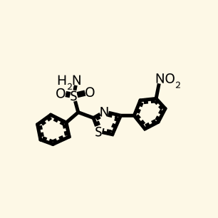 NS(=O)(=O)C(c1ccccc1)c1nc(-c2cccc([N+](=O)[O-])c2)cs1